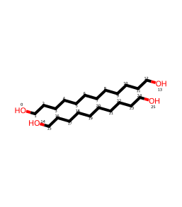 OCCCCCCCCCCCCO.OCCCCCCCCCCO